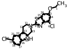 CCOc1cc(Cl)c2nc(N3CCc4c([nH]c5ccc(Cl)cc45)C3)sc2c1